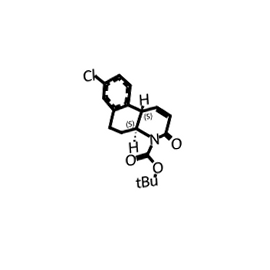 CC(C)(C)OC(=O)N1C(=O)C=C[C@H]2c3ccc(Cl)cc3CC[C@@H]21